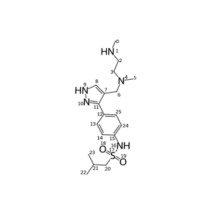 CNCCN(C)Cc1c[nH]nc1-c1ccc(NS(=O)(=O)CC(C)C)cc1